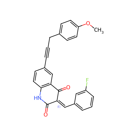 COc1ccc(CC#Cc2ccc3c(c2)C(=O)/C(=C\c2cccc(F)c2)C(=O)N3)cc1